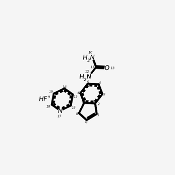 C1=Cc2ccccc2C1.F.NC(N)=O.c1ccncc1